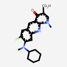 CN(c1cc2nc3c(cc2cc1F)c(=O)c(C(=O)O)cn3C)C1CCCCC1